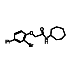 CC(C)c1ccc(OCC(=O)NC2CCCCCC2)c(Br)c1